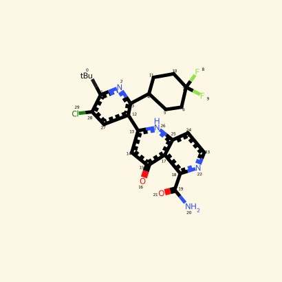 CC(C)(C)c1nc(C2CCC(F)(F)CC2)c(-c2cc(=O)c3c(C(N)=O)nccc3[nH]2)cc1Cl